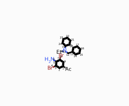 CC(=O)c1cc(Br)c(N)c(Br)c1.CCN(Cc1ccccc1)c1ccccc1